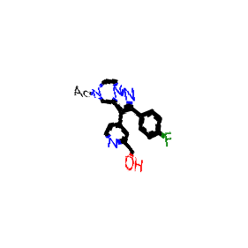 CC(=O)N1CCn2nc(-c3ccc(F)cc3)c(-c3ccnc(CO)c3)c2C1